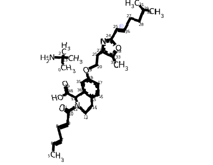 CC(C)(C)N.CC=CC=CC(=O)N1CCc2ccc(OCCc3nc(/C=C/CCC(C)C)oc3C)cc2C1C(=O)O